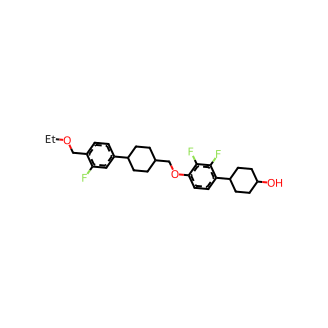 CCOCc1ccc(C2CCC(COc3ccc(C4CCC(O)CC4)c(F)c3F)CC2)cc1F